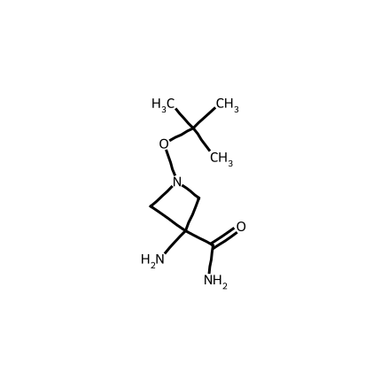 CC(C)(C)ON1CC(N)(C(N)=O)C1